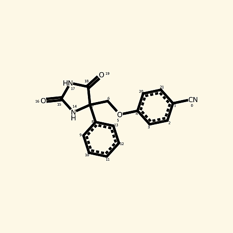 N#Cc1ccc(OCC2(c3ccccc3)NC(=O)NC2=O)cc1